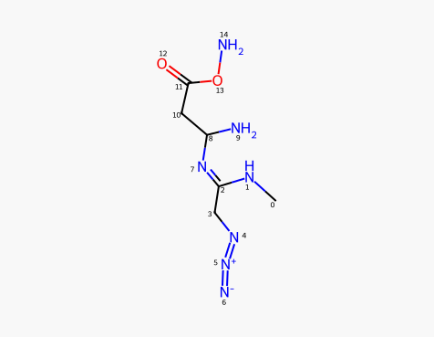 CN/C(CN=[N+]=[N-])=N\C(N)CC(=O)ON